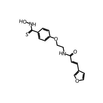 O=C(/C=C/c1ccoc1)NCCOc1ccc(C(=S)NO)cc1